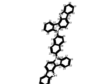 c1ccc2c(c1)sc1c2ccc2c1c1ccccc1n2-c1ccc2cc(-n3c4ccccc4c4c5sc6ccccc6c5ccc43)ccc2c1